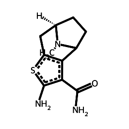 CN1C2CC[C@@H]1Cc1sc(N)c(C(N)=O)c12